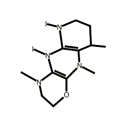 CC1CCN(I)C2=C1N(C)C1=C(N(C)CCO1)N2I